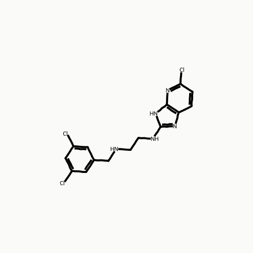 Clc1cc(Cl)cc(CNCCNc2nc3ccc(Cl)nc3[nH]2)c1